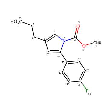 CC(C)(C)OC(=O)n1cc(CCC(=O)O)cc1-c1ccc(F)cc1